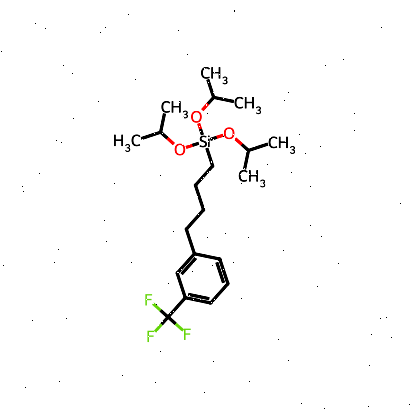 CC(C)O[Si](CCCCc1cccc(C(F)(F)F)c1)(OC(C)C)OC(C)C